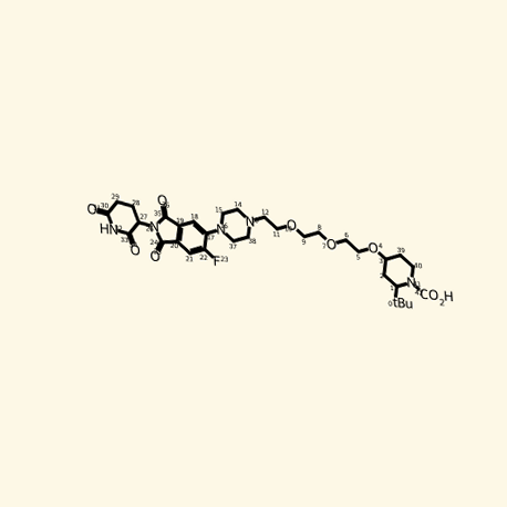 CC(C)(C)C1CC(OCCOCCOCCN2CCN(c3cc4c(cc3F)C(=O)N(C3CCC(=O)NC3=O)C4=O)CC2)CCN1C(=O)O